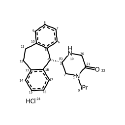 CC(C)N1C[C@H](C2c3ccccc3CCc3ccccc32)NCC1=O.Cl